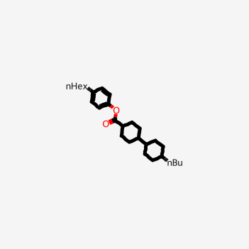 CCCCCCc1ccc(OC(=O)C2CCC(C3CCC(CCCC)CC3)CC2)cc1